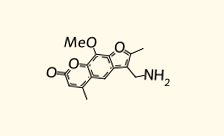 COc1c2oc(=O)cc(C)c2cc2c(CN)c(C)oc12